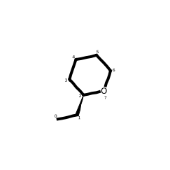 CC[C@H]1[CH]CCCO1